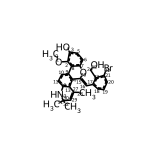 COc1c(O)ccc2c1-c1ccc3c(c1/C(=C/c1cccc(Br)c1CO)O2)C(C)=CC(C)(C)N3